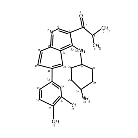 CC(C)C(=O)c1cnc2ccc(-c3ccc(O)c(Cl)c3)cc2c1NC1CCC(N)CC1